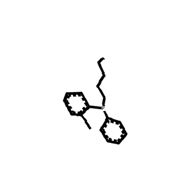 CCCCCP(c1ccccc1)c1ccccc1C